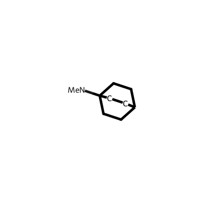 CNC12CCC(CC1)CC2